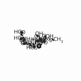 CCCSSC[C@H](NC(=O)[C@H](Cc1ccccc1)NC(=O)[C@H](CC(=O)O)NC(=O)CC[C@H](NC(=O)CC[C@@H](C=O)NC(=O)N[C@@H](CCC(=O)O)C(=O)O)C(=O)O)C(=O)O